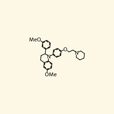 COc1cccc(C2CCc3cc(OC)ccc3N2c2ccc(OCCN3CCCCC3)cc2)c1